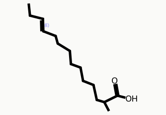 CC/C=C/CCCCCCCCC(C)C(=O)O